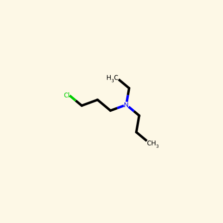 CCCN(CC)CCCCl